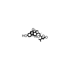 CC(C)C1=CC(=O)O[C@H]1[C@@H](O)[C@@H](C)[C@H]1CC[C@H]2[C@@H]3C(=O)C=C4C[C@@H](O)CC[C@]4(C)[C@H]3CC[C@]12C